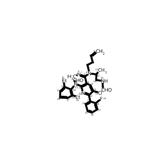 C=CCCN(/C(=N/C)c1cc(Cl)c(-c2ccccc2F)nc1N(C=O)c1c(CC)cccc1CC)C(C)CNC=O